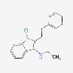 CCNc1c(CCc2ccccc2)n(Cl)c2ccccc12